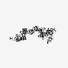 Cc1n[nH]c(Cc2ncnc3cc(OCC4CCN(c5cc(N6CCN(C[C@H]7CN[C@H](C)CN7CC(=O)N7CC(C)(C)c8ncc(Cc9ccc(F)cc9)cc87)[C@H](C)C6)ncn5)CC4)c(S(=O)(=O)C(C)(C)C)cc23)c1C